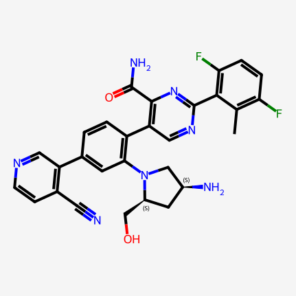 Cc1c(F)ccc(F)c1-c1ncc(-c2ccc(-c3cnccc3C#N)cc2N2C[C@@H](N)C[C@H]2CO)c(C(N)=O)n1